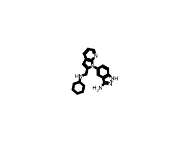 Nc1n[nH]c2ccc(-n3c(CNC4CCCCC4)cc4[c]ccnc43)cc12